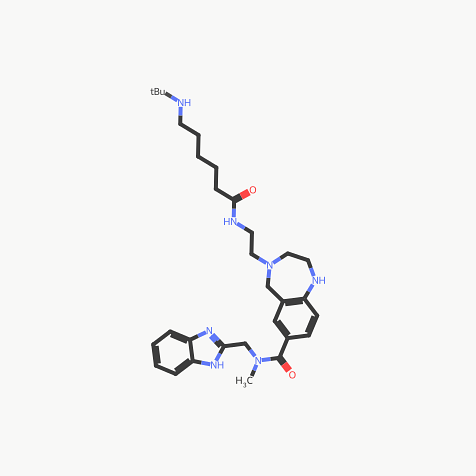 CN(Cc1nc2ccccc2[nH]1)C(=O)c1ccc2c(c1)CN(CCNC(=O)CCCCCNC(C)(C)C)CCN2